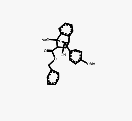 CNC12CC(O)(c3ccc(OC)cc3)C(CC1C(=O)OCc1ccccc1)c1ccccc12